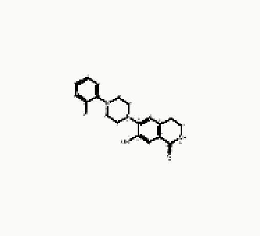 Cc1ccccc1N1CCN(c2cc3c(cc2N=O)C(=O)NCC3)CC1